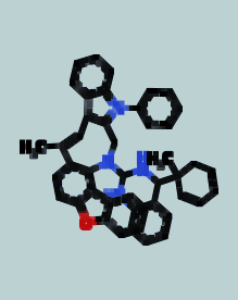 C/C1=C\c2c(n(-c3ccccc3)c3ccccc23)CN(C2Nc3ccccc3C(C3(C)C=CC=CC3)N2)c2c1ccc1oc3ccccc3c21